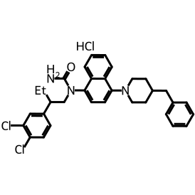 CCC(CN(C(N)=O)c1ccc(N2CCC(Cc3ccccc3)CC2)c2ccccc12)c1ccc(Cl)c(Cl)c1.Cl